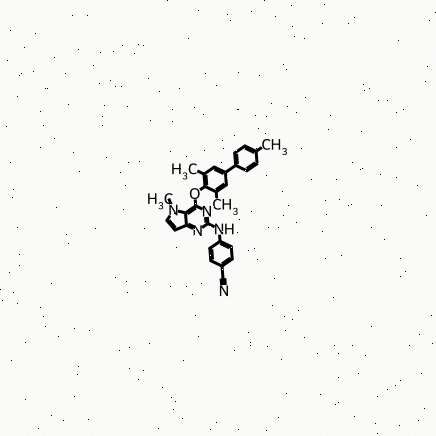 Cc1ccc(-c2cc(C)c(Oc3nc(Nc4ccc(C#N)cc4)nc4ccn(C)c34)c(C)c2)cc1